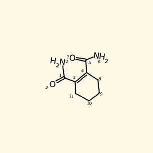 NC(=O)C1=C(C(N)=O)CCCC1